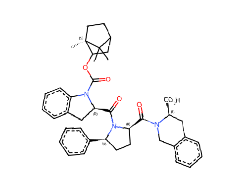 CC1(C)C2CC[C@]1(C)C(OC(=O)N1c3ccccc3C[C@@H]1C(=O)N1[C@@H](C(=O)N3Cc4ccccc4C[C@@H]3C(=O)O)CC[C@H]1c1ccccc1)C2